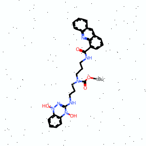 CC(C)(C)OC(=O)N(CCCNC(=O)c1cccc2cc3ccccc3nc12)CCCNC1=NN(O)c2ccccc2N1O